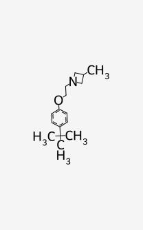 CC1CN(CCOc2ccc(C(C)(C)C)cc2)C1